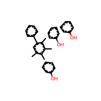 Cc1cc(-c2ccccc2)c(C)c(C)c1C.Oc1ccccc1.Oc1ccccc1.Oc1ccccc1